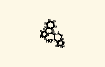 O[C@H]1c2nncn2CC[C@H]1[C@H]1c2ccccc2-c2cncn21